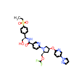 CCS(=O)(=O)c1ccc([C@H](CO)NC(=O)c2ccc(N3C[C@@H](Oc4ccc(-n5cccn5)cn4)C[C@H]3COC(F)F)nc2)cc1